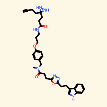 C#CCCC1(CCC(=O)NCCCOc2ccc(CN(C)C(=O)CCc3nnc(CCc4c[nH]c5ccccc45)o3)cc2)NN1